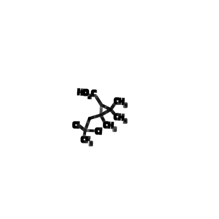 CC1(C)C(C(=O)O)C1(C)CC(Cl)(Cl)C(F)(F)F